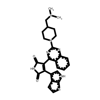 CN(C)CC1CCN(c2nc(C3=C(c4c[nH]c5sccc45)C(=O)NC3=O)c3ccccc3n2)CC1